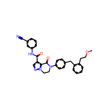 COCCc1ccccc1Cc1ccc(N2CCn3ncc(C(=O)Nc4cccc(C#N)c4)c3C2=O)cc1